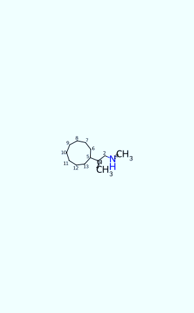 CNC[C@@H](C)C1CCCCCCCC1